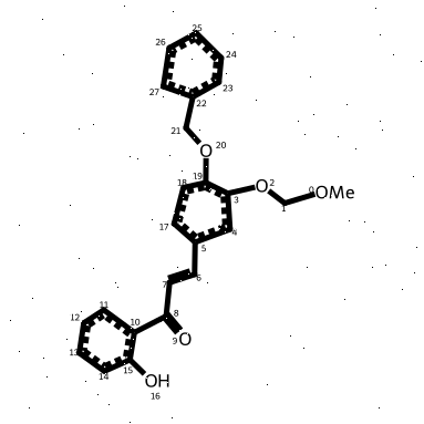 COCOc1cc(C=CC(=O)c2ccccc2O)ccc1OCc1ccccc1